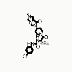 CC[C@H](C)[C@@H](NC(=O)Nc1ccc(Cl)cc1)C(=O)N1CCC(N2CN3CN(C)C=C3C2=O)CC1